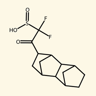 O=C(C1CC2CC1C1C3CCC(C3)C21)C(F)(F)S(=O)O